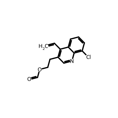 C=Cc1c(CCOC=O)cnc2c(Cl)cccc12